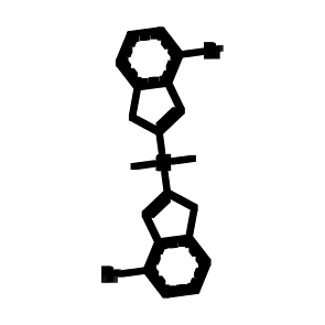 C[Si](C)(C1=Cc2c(Br)cccc2C1)C1=Cc2c(Br)cccc2C1